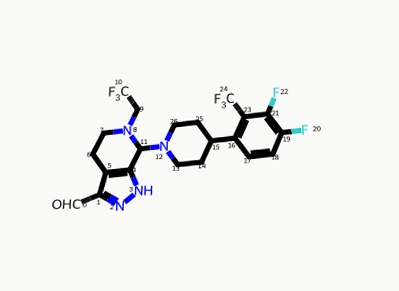 O=Cc1n[nH]c2c1CCN(CC(F)(F)F)C2N1CCC(c2ccc(F)c(F)c2C(F)(F)F)CC1